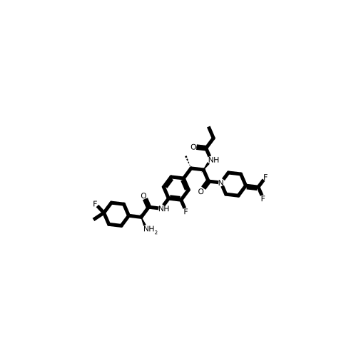 CCC(=O)N[C@@H](C(=O)N1CCC(=C(F)F)CC1)[C@@H](C)c1ccc(NC(=O)[C@@H](N)C2CCC(C)(F)CC2)c(F)c1